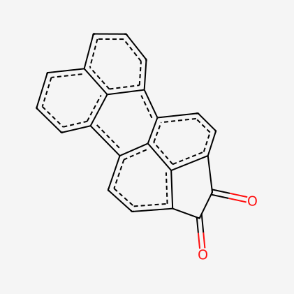 O=C1C(=O)c2ccc3c4cccc5cccc(c6ccc1c2c63)c54